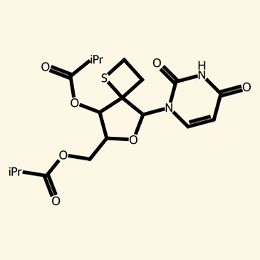 CC(C)C(=O)OCC1OC(n2ccc(=O)[nH]c2=O)C2(CCS2)C1OC(=O)C(C)C